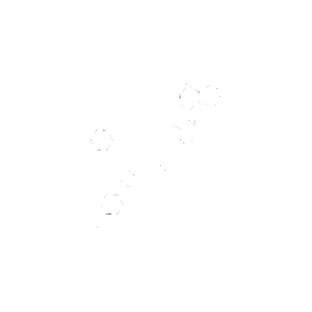 Cc1cc(NC(=O)NCCN2CCC(N(CCc3ccccc3)S(=O)(=O)c3ccc(Br)cc3)C2)c2ccccc2n1